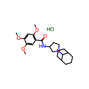 COc1cc(OC)c(C(=O)NC2CCN(C3C4CCCC3CCC4)C2)cc1OC.Cl